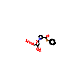 O=C(Sc1ccccc1)c1ccc[n+]([C@H]2C[C@H](O)C(CO)O2)c1